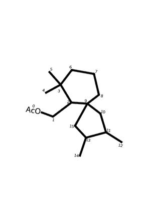 CC(=O)OCC1C(C)(C)CCCC12CC(C)C(C)C2